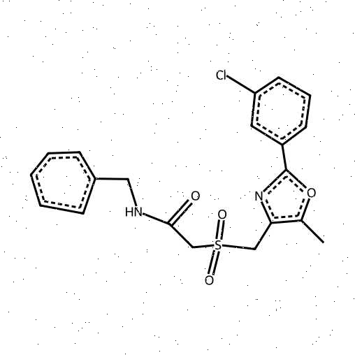 Cc1oc(-c2cccc(Cl)c2)nc1CS(=O)(=O)CC(=O)NCc1ccccc1